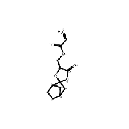 C=CC(=O)OCC1OC2(CC3CCC2C3)OC1=O